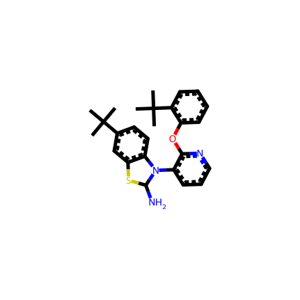 CC(C)(C)c1ccc2c(c1)SC(N)N2c1cccnc1Oc1ccccc1C(C)(C)C